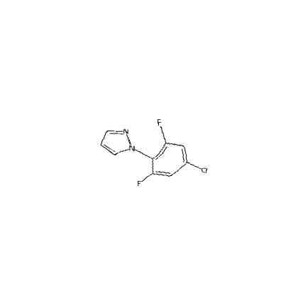 Fc1cc(Cl)cc(F)c1-n1cccn1